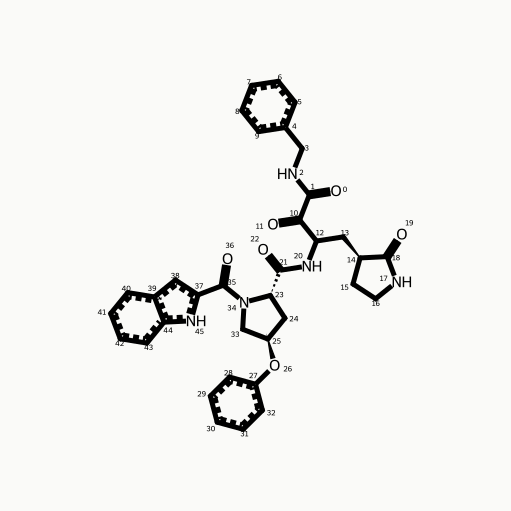 O=C(NCc1ccccc1)C(=O)C(C[C@@H]1CCNC1=O)NC(=O)[C@@H]1C[C@@H](Oc2ccccc2)CN1C(=O)c1cc2ccccc2[nH]1